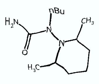 CCCCN(C(N)=O)N1C(C)CCCC1C